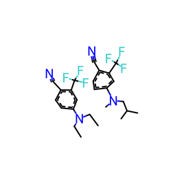 CC(C)CN(C)c1ccc(C#N)c(C(F)(F)F)c1.CCN(CC)c1ccc(C#N)c(C(F)(F)F)c1